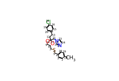 Cc1ccc(CSCC2COC(CCc3ccc(Cl)cc3)(Cn3ccnc3)O2)cc1